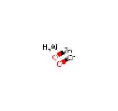 [AlH3].[O]=[Cr].[O]=[Zn]